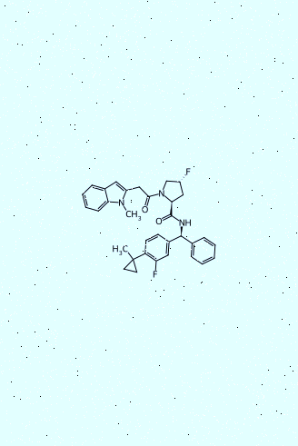 Cn1c(CC(=O)N2C[C@H](F)C[C@H]2C(=O)N[C@@H](c2ccccc2)c2ccc(C3(C)CC3)c(F)c2)cc2ccccc21